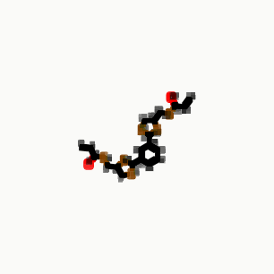 C=CC(=O)SCC1CSC(c2cccc(C3SCC(CSC(=O)C=C)S3)c2)S1